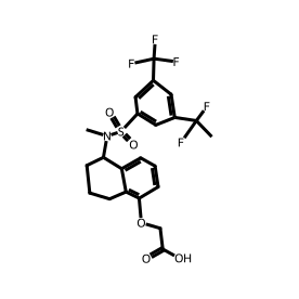 CN(C1CCCc2c(OCC(=O)O)cccc21)S(=O)(=O)c1cc(C(C)(F)F)cc(C(F)(F)F)c1